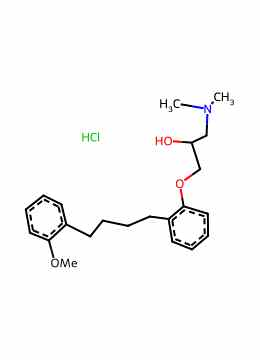 COc1ccccc1CCCCc1ccccc1OCC(O)CN(C)C.Cl